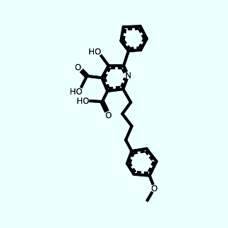 COc1ccc(CCCCc2nc(-c3ccccc3)c(O)c(C(=O)O)c2C(=O)O)cc1